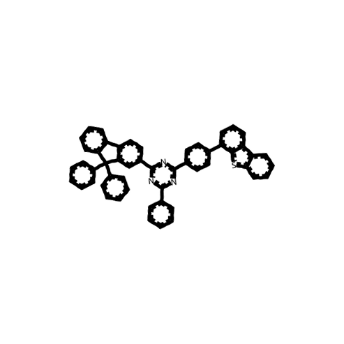 c1ccc(-c2nc(-c3ccc(-c4cccc5c4sc4ccccc45)cc3)nc(-c3ccc4c(c3)C(c3ccccc3)(c3ccccc3)c3ccccc3-4)n2)cc1